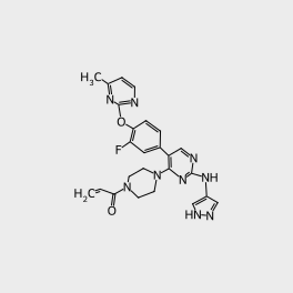 C=CC(=O)N1CCN(c2nc(Nc3cn[nH]c3)ncc2-c2ccc(Oc3nccc(C)n3)c(F)c2)CC1